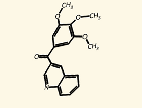 COc1cc(C(=O)c2cnc3ccccc3c2)cc(OC)c1OC